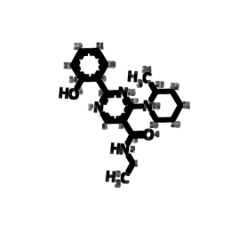 CCNC(=O)c1cnc(-c2ccccc2O)nc1N1CCCCC1C